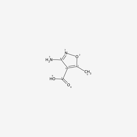 Cc1onc(N)c1C(=O)O